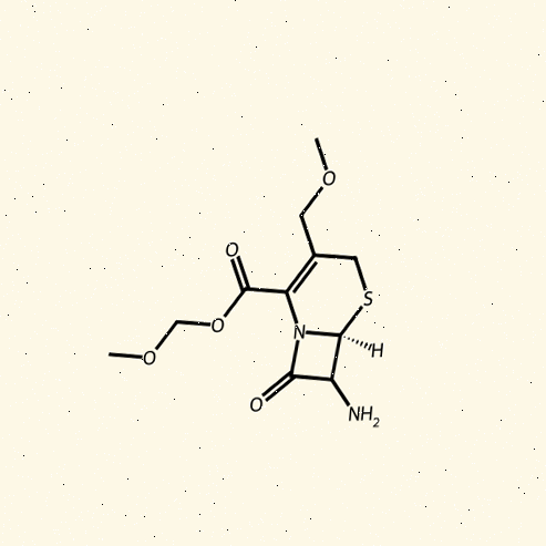 COCOC(=O)C1=C(COC)CS[C@H]2C(N)C(=O)N12